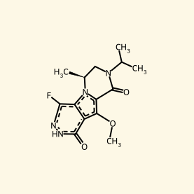 COc1c2n(c3c(F)n[nH]c(=O)c13)[C@@H](C)CN(C(C)C)C2=O